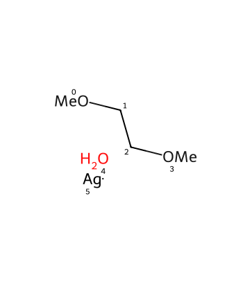 COCCOC.O.[Ag]